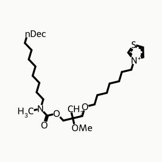 CCCCCCCCCCCCCCCCCCN(C)C(=O)OCC(C)(COCCCCCCC[n+]1ccsc1)OC